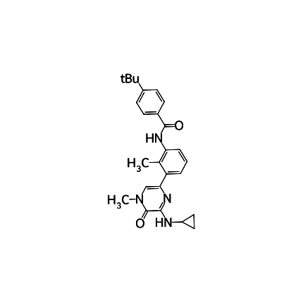 Cc1c(NC(=O)c2ccc(C(C)(C)C)cc2)cccc1-c1cn(C)c(=O)c(NC2CC2)n1